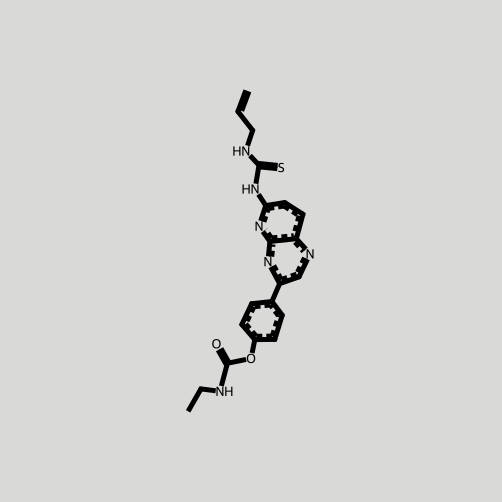 C=CCNC(=S)Nc1ccc2ncc(-c3ccc(OC(=O)NCC)cc3)nc2n1